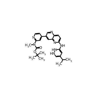 CC(C)C1=CNNC(Nc2ccc3ncc(-c4ccnc(N(C)C(=O)OC(C)(C)C)c4)cc3n2)=C1